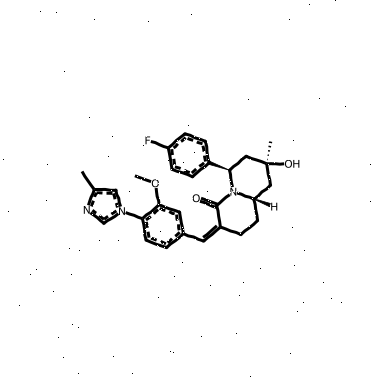 COc1cc(C=C2CC[C@H]3C[C@](C)(O)C[C@H](c4ccc(F)cc4)N3C2=O)ccc1-n1cnc(C)c1